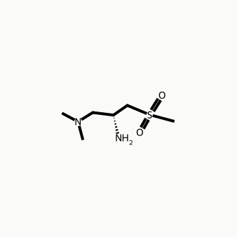 CN(C)C[C@@H](N)CS(C)(=O)=O